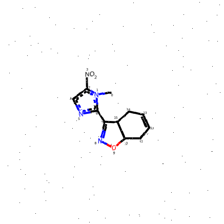 Cn1c([N+](=O)[O-])cnc1C1=NOC2CC=CCC12